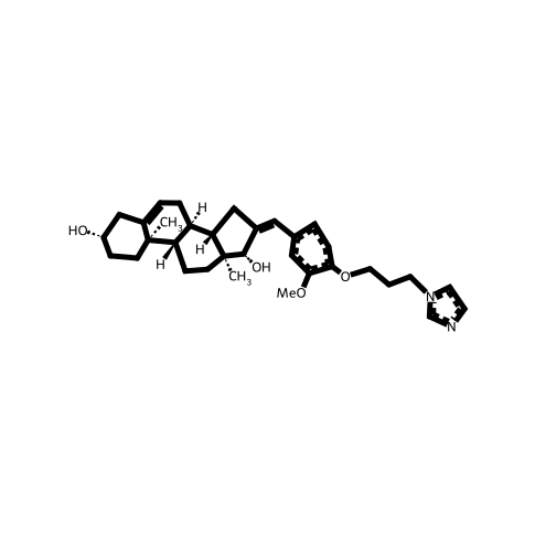 COc1cc(C=C2C[C@H]3[C@@H]4CC=C5C[C@@H](O)CC[C@]5(C)[C@H]4CC[C@]3(C)[C@H]2O)ccc1OCCCn1ccnc1